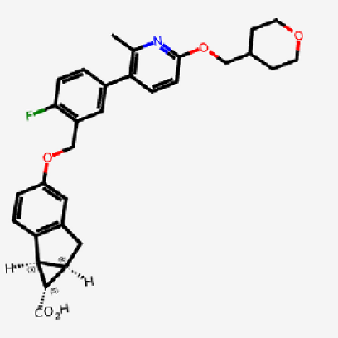 Cc1nc(OCC2CCOCC2)ccc1-c1ccc(F)c(COc2ccc3c(c2)C[C@H]2[C@H](C(=O)O)[C@@H]32)c1